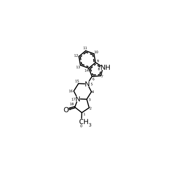 CC1CC2CN(c3c[nH]c4ccccc34)CCN2C1=O